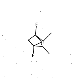 CC1=C(C)C2(F)CC1(F)C2